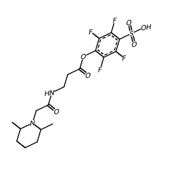 CC1CCCC(C)N1CC(=O)NCCC(=O)Oc1c(F)c(F)c(S(=O)(=O)O)c(F)c1F